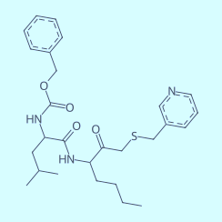 CCCCC(NC(=O)C(CC(C)C)NC(=O)OCc1ccccc1)C(=O)CSCc1cccnc1